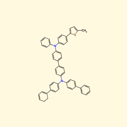 Cc1ccc(-c2ccc(N(c3ccccc3)c3ccc(-c4ccc(N(c5ccc(C6=CC=CCC6)cc5)c5ccc(-c6ccccc6)cc5)cc4)cc3)cc2)s1